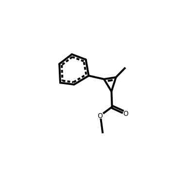 COC(=O)C1C(C)=C1c1ccccc1